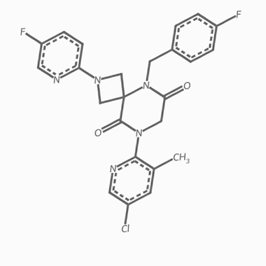 Cc1cc(Cl)cnc1N1CC(=O)N(Cc2ccc(F)cc2)C2(CN(c3ccc(F)cn3)C2)C1=O